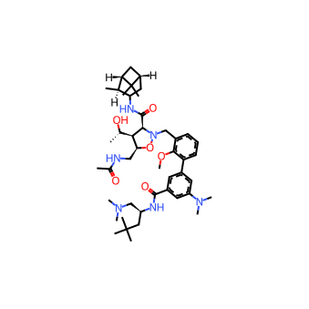 COc1c(CN2O[C@@H](CNC(C)=O)[C@@H]([C@H](C)O)[C@H]2C(=O)NC2C[C@H]3C[C@@H]([C@@H]2C)C3(C)C)cccc1-c1cc(C(=O)N[C@H](CN(C)C)CC(C)(C)C)cc(N(C)C)c1